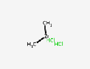 Cl.Cl.[CH3][Zr][CH3]